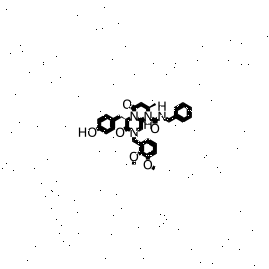 COc1cccc(CN2C[C@@H]3N(C(=O)NCc4ccccc4)[C@H](C)CC(=O)N3[C@@H](Cc3ccc(O)cc3)C2=O)c1OC